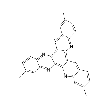 Cc1ccc2nc3c4nc5ccc(C)cc5nc4c4nc5cc(C)ccc5nc4c3nc2c1